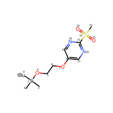 CC(C)(C)[Si](C)(C)OCCOc1cnc(S(C)(=O)=O)nc1